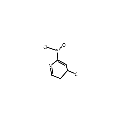 [O-][S+](Cl)C1=CC(Cl)CC=N1